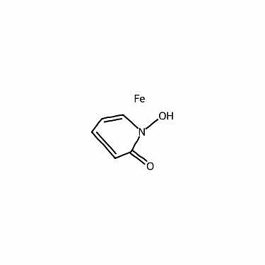 O=c1ccccn1O.[Fe]